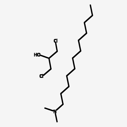 CCCCCCCCCCCCN(C)C.OC(CCl)CCl